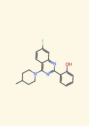 CC1CCN(c2nc(-c3ccccc3O)nc3cc(F)ccc23)CC1